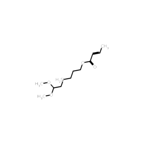 CC=CC(=O)OCCC[SiH2]CC(OC)OC